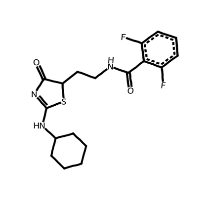 O=C(NCCC1SC(NC2CCCCC2)=NC1=O)c1c(F)cccc1F